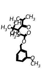 COc1cccc(COC(=O)[SiH2]C(C(=O)C(C)C)C(C)(C)C)c1